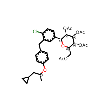 CC(=O)OC[C@H]1O[C@@H](c2ccc(Cl)c(Cc3ccc(O[C@@H](C)CC4CC4)cc3)c2)[C@H](OC(C)=O)[C@@H](OC(C)=O)[C@@H]1OC(C)=O